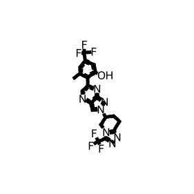 Cc1cc(C(F)(F)F)cc(O)c1-c1cnc2cn(C3CCc4nnc(C(F)(F)F)n4C3)nc2n1